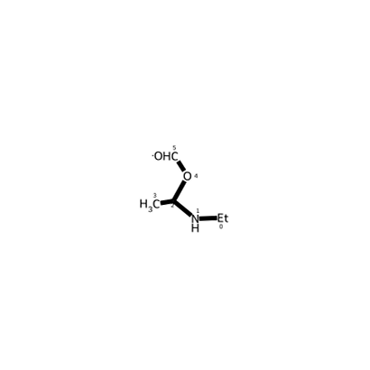 CCNC(C)O[C]=O